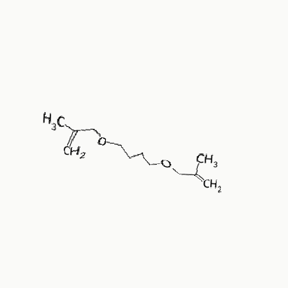 C=C(C)COCCCCOCC(=C)C